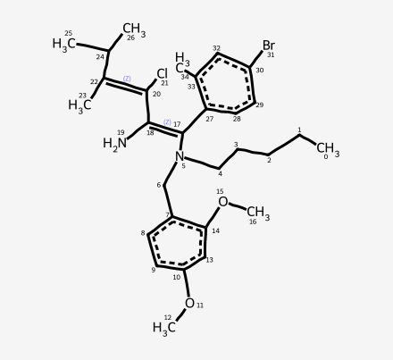 CCCCCN(Cc1ccc(OC)cc1OC)/C(=C(N)/C(Cl)=C(\C)C(C)C)c1ccc(Br)cc1C